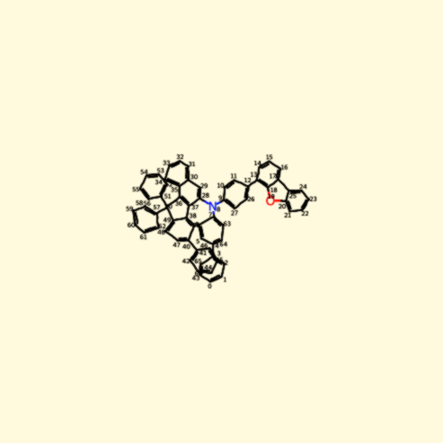 c1ccc(-c2ccc(N(c3ccc(-c4cccc5c4oc4ccccc45)cc3)c3cc4ccccc4c4c3-c3cc(-c5ccccc5)ccc3C4(c3ccccc3)c3ccccc3)cc2)cc1